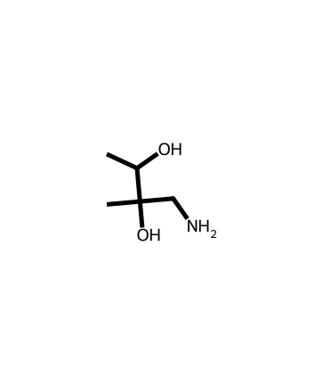 CC(O)C(C)(O)CN